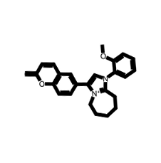 C=C1C=Cc2cc(-c3cn(-c4ccccc4OC)c4[n+]3CCCCC4)ccc2O1